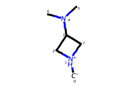 [CH2-][NH+]1CC(N(C)C)C1